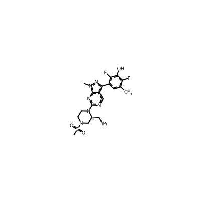 CC(C)C[C@H]1CN(S(C)(=O)=O)CCN1c1ncc2c(-c3cc(C(F)(F)F)c(F)c(O)c3F)nn(C)c2n1